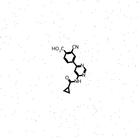 N#Cc1cc(-c2cc(NC(=O)C3CC3)ncn2)ccc1C(=O)O